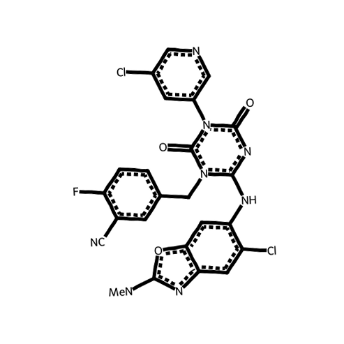 CNc1nc2cc(Cl)c(Nc3nc(=O)n(-c4cncc(Cl)c4)c(=O)n3Cc3ccc(F)c(C#N)c3)cc2o1